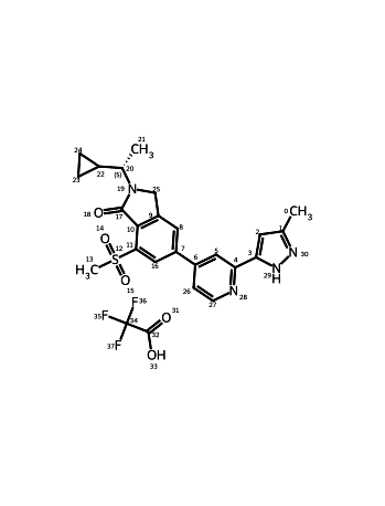 Cc1cc(-c2cc(-c3cc4c(c(S(C)(=O)=O)c3)C(=O)N([C@@H](C)C3CC3)C4)ccn2)[nH]n1.O=C(O)C(F)(F)F